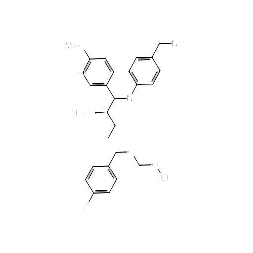 CCOCO[C@@H](CC[C@@H](C(=O)O)C(Nc1ccc(CN)cc1)c1ccc(OC)cc1)c1ccc(F)cc1